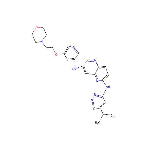 CC(C)c1cnnc(Nc2ccc3ncc(Nc4cncc(OCCN5CCOCC5)c4)cc3n2)c1